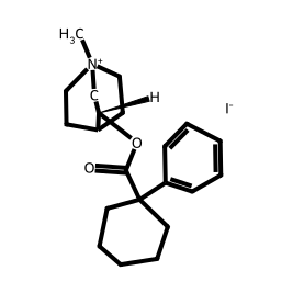 C[N+]12CCC(CC1)[C@@H](OC(=O)C1(c3ccccc3)CCCCC1)C2.[I-]